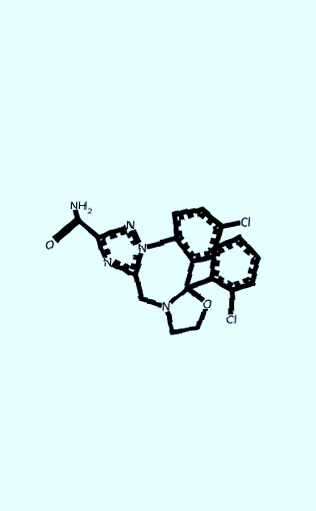 NC(=O)c1nc2n(n1)-c1ccc(Cl)cc1C1(c3ccccc3Cl)OCCN1C2